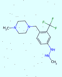 CNNc1ccc(CN2CCN(C)CC2)c(C(F)(F)F)c1